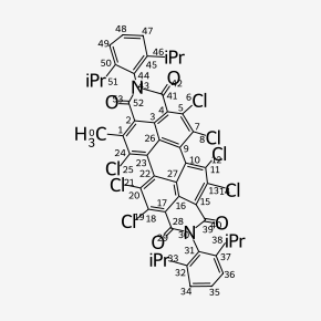 Cc1c2c3c(c(Cl)c(Cl)c4c5c(Cl)c(Cl)c6c7c(c(Cl)c(Cl)c(c(c1Cl)c34)c75)C(=O)N(c1c(C(C)C)cccc1C(C)C)C6=O)C(=O)N(c1c(C(C)C)cccc1C(C)C)C2=O